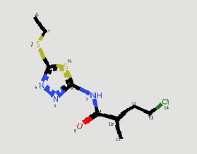 CCSc1nnc(NC(=O)C(C)CCCl)s1